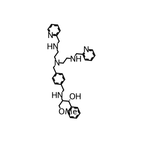 COCC(NCc1ccc(CN(CCNCc2ccccn2)CCNCc2ccccn2)cc1)[C@H](O)c1ccccc1